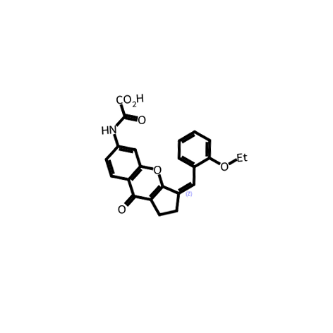 CCOc1ccccc1/C=C1/CCc2c1oc1cc(NC(=O)C(=O)O)ccc1c2=O